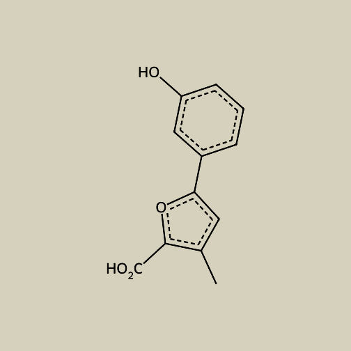 Cc1cc(-c2cccc(O)c2)oc1C(=O)O